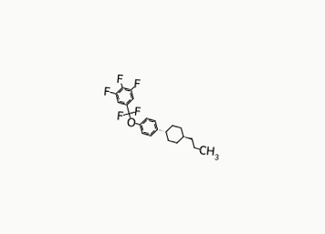 CCC[C@H]1CC[C@H](c2ccc(OC(F)(F)c3cc(F)c(F)c(F)c3)cc2)CC1